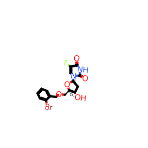 O=c1[nH]c(=O)n([C@H]2C[C@H](O)[C@@H](COCc3ccccc3Br)O2)cc1F